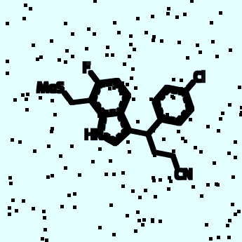 CSCc1c(F)ccc2c(C(CCC#N)c3ccc(Cl)cc3)c[nH]c12